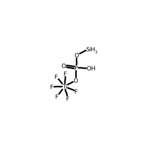 O=P(O)(O[SiH3])[O][Ti]([F])([F])([F])([F])([F])[F]